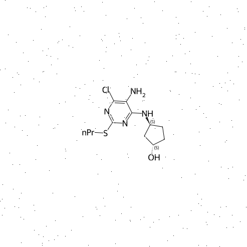 CCCSc1nc(Cl)c(N)c(N[C@H]2CC[C@H](O)C2)n1